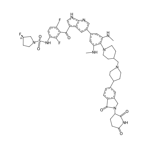 CNc1cc(-c2cnc3[nH]cc(C(=O)c4c(F)ccc(NS(=O)(=O)N5CC[C@@H](F)C5)c4F)c3c2)cc(NC)c1N1CCC(CN2CCC(c3ccc4c(c3)CN(C3CCC(=O)NC3=O)C4=O)CC2)CC1